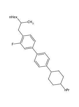 CCCCCCC(C)Cc1ccc(-c2ccc(C3CCC(CCC)CC3)cc2)cc1F